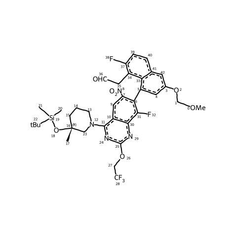 COCOc1cc(-c2c([N+](=O)[O-])cc3c(N4CCC[C@@](C)(O[Si](C)(C)C(C)(C)C)C4)nc(OCC(F)(F)F)nc3c2F)c2c(CC=O)c(F)ccc2c1